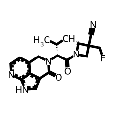 CC(C)[C@H](C(=O)N1CC(C#N)(CF)C1)N1Cc2ccnc3[nH]cc(c23)C1=O